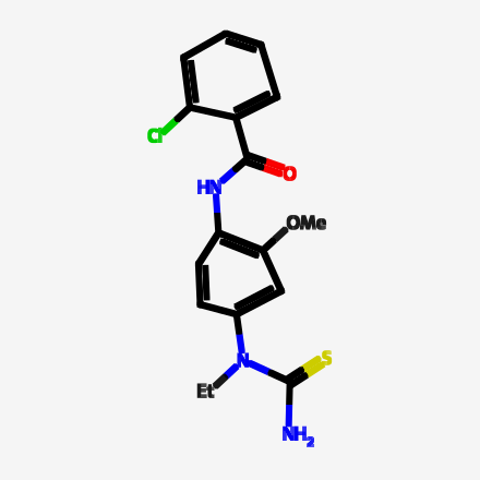 CCN(C(N)=S)c1ccc(NC(=O)c2ccccc2Cl)c(OC)c1